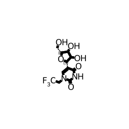 O=c1[nH]c(=O)n(CC(F)(F)F)cc1[C@@H]1O[C@H](CO)C(O)C1O